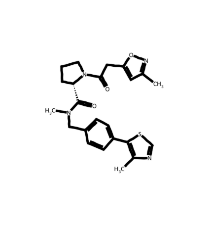 Cc1cc(CC(=O)N2CCC[C@H]2C(=O)N(C)Cc2ccc(-c3scnc3C)cc2)on1